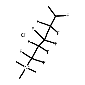 CC(F)C(F)(F)C(F)(F)C(F)(F)C(F)(F)[N+](C)(C)C.[Cl-]